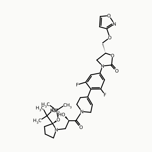 C[SiH](C)O[C@]1(C(C)(C)C)CCCN1C[C@@H](O)C(=O)N1CC=C(c2c(F)cc(N3C[C@H](COc4ccon4)OC3=O)cc2F)CC1